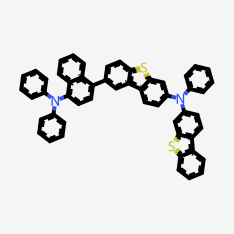 c1ccc(N(c2ccc3c(c2)sc2ccccc23)c2ccc3c(c2)sc2ccc(-c4ccc(N(c5ccccc5)c5ccccc5)c5ccccc45)cc23)cc1